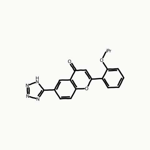 CC(C)Oc1ccccc1-c1cc(=O)c2cc(-c3nnn[nH]3)ccc2o1